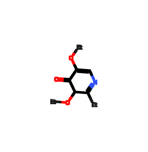 CCOC1=CN=C(CC)C(OCC)C1=O